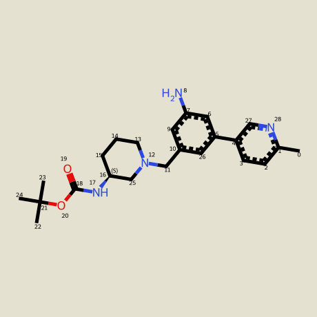 Cc1ccc(-c2cc(N)cc(CN3CCC[C@H](NC(=O)OC(C)(C)C)C3)c2)cn1